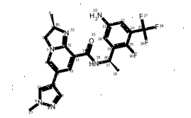 C[C@@H]1CN2C=C(c3cnn(C)c3)C=C(C(=O)N[C@H](C)c3cc(N)cc(C(F)(F)F)c3F)C2=N1